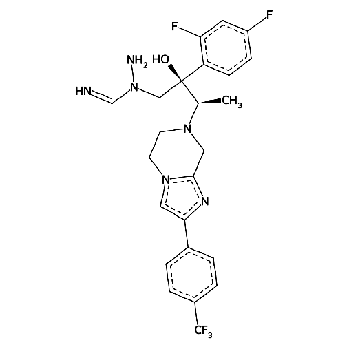 C[C@@H](N1CCn2cc(-c3ccc(C(F)(F)F)cc3)nc2C1)[C@](O)(CN(N)C=N)c1ccc(F)cc1F